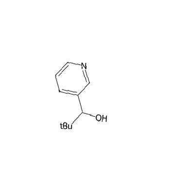 CC(C)(C)C(O)c1cccnc1